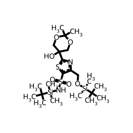 CC1(C)OCC(O)(c2nc(CO[Si](C)(C)C(C)(C)C)c(S(=O)(=O)N[Si](C)(C)C(C)(C)C)s2)CO1